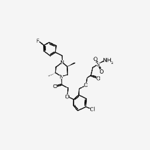 C[C@@H]1CN(Cc2ccc(F)cc2)[C@@H](C)CN1C(=O)COc1ccc(Cl)cc1COCC(=O)CS(N)(=O)=O